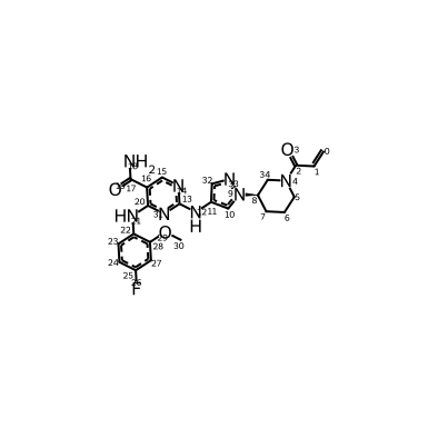 C=CC(=O)N1CCC[C@@H](n2cc(Nc3ncc(C(N)=O)c(Nc4ccc(F)cc4OC)n3)cn2)C1